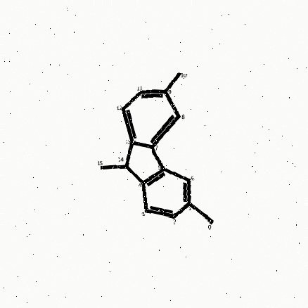 Cc1ccc2c(c1)-c1cc(C)ccc1C2C